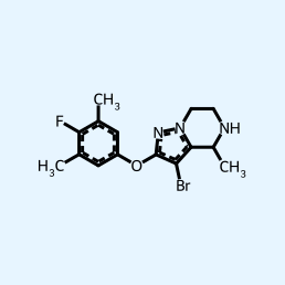 Cc1cc(Oc2nn3c(c2Br)C(C)NCC3)cc(C)c1F